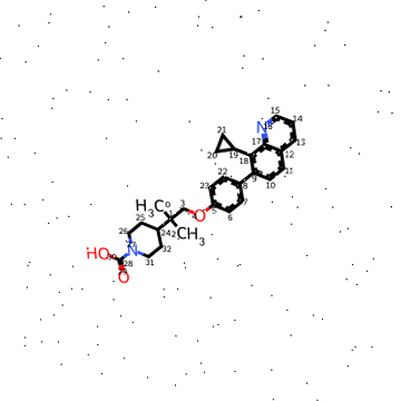 CC(C)(COc1ccc(-c2ccc3cccnc3c2C2CC2)cc1)C1CCN(C(=O)O)CC1